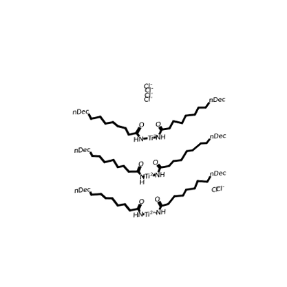 CCCCCCCCCCCCCCCCCC(=O)[NH][Ti+2][NH]C(=O)CCCCCCCCCCCCCCCCC.CCCCCCCCCCCCCCCCCC(=O)[NH][Ti+2][NH]C(=O)CCCCCCCCCCCCCCCCC.CCCCCCCCCCCCCCCCCC(=O)[NH][Ti+2][NH]C(=O)CCCCCCCCCCCCCCCCC.[Cl-].[Cl-].[Cl-].[Cl-].[Cl-].[Cl-]